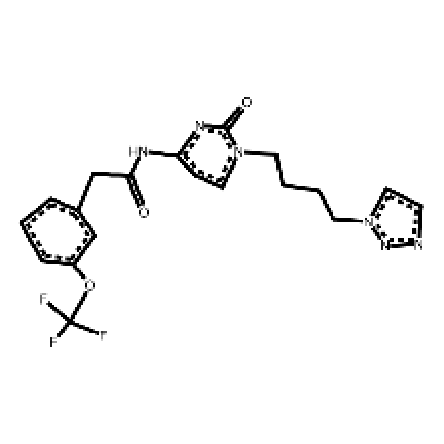 O=C(Cc1cccc(OC(F)(F)F)c1)Nc1ccn(CCCCn2ccnn2)c(=O)n1